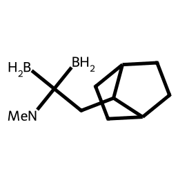 BC(B)(CC1C2CCC1CC2)NC